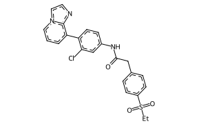 CCS(=O)(=O)c1ccc(CC(=O)Nc2ccc(-c3cccn4ccnc34)c(Cl)c2)cc1